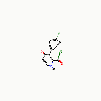 CC(C)n1ccc(=O)c(-c2ccc(F)cc2)c1C(=O)Cl